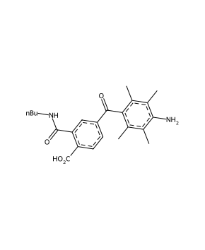 CCCCNC(=O)c1cc(C(=O)c2c(C)c(C)c(N)c(C)c2C)ccc1C(=O)O